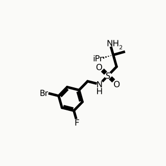 CC(C)[C@@](C)(N)CS(=O)(=O)NCc1cc(F)cc(Br)c1